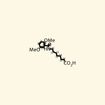 COc1ccc(OC)c(C(=O)NCCCCCCCC(=O)O)c1